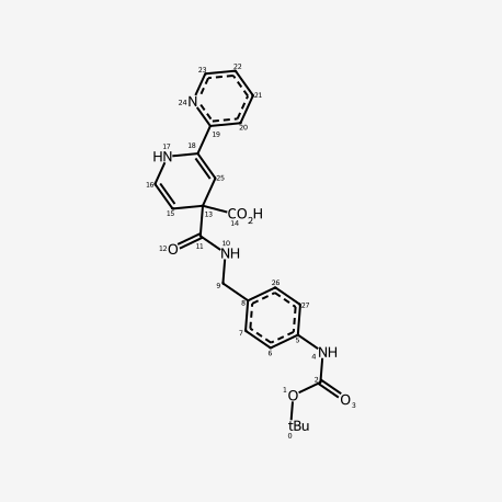 CC(C)(C)OC(=O)Nc1ccc(CNC(=O)C2(C(=O)O)C=CNC(c3ccccn3)=C2)cc1